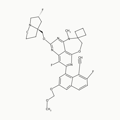 C#Cc1c(F)ccc2cc(OCOC)cc(-c3nc4c5c(nc(OC[C@@]67CCCN6C[C@H](F)C7)nc5c3F)N(C)C3(CCC3)CO4)c12